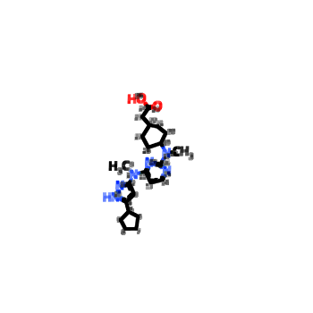 CN(c1cc(C2CCCC2)[nH]n1)c1ccnc(N(C)C2CCC(CC(=O)O)CC2)n1